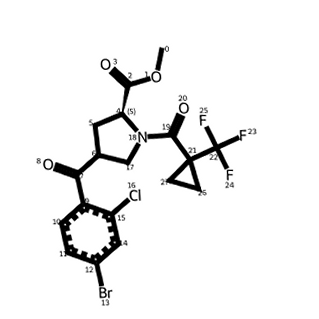 COC(=O)[C@@H]1CC(C(=O)c2ccc(Br)cc2Cl)CN1C(=O)C1(C(F)(F)F)CC1